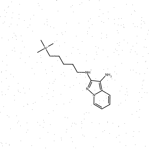 C[N+](C)(C)CCCCCNc1nn2ccccc2c1N